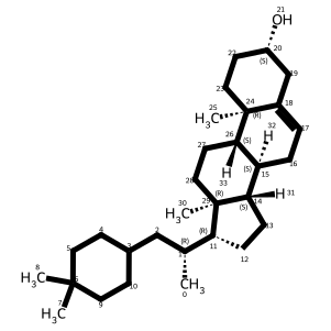 C[C@H](CC1CCC(C)(C)CC1)[C@H]1CC[C@H]2[C@@H]3CC=C4C[C@@H](O)CC[C@]4(C)[C@H]3CC[C@]12C